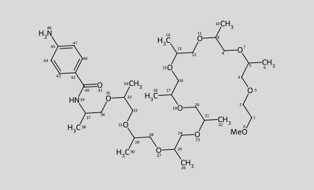 COCCOCC(C)OCC(C)OCC(C)OCC(C)OCC(C)OCC(C)OCC(C)OCC(C)OCC(C)NC(=O)c1ccc(N)cc1